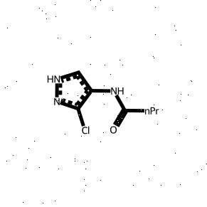 CCCC(=O)Nc1c[nH]nc1Cl